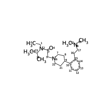 CCN(C(=O)CN1CCC(c2ccccc2CCN(C)C)CC1)C(C)C